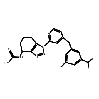 O=C(O)NC1CCCc2c1nnn2-c1cc(Cc2cc(F)cc(C(F)F)c2)ccn1